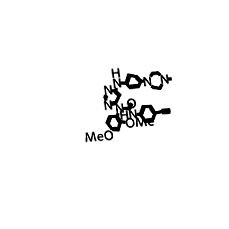 C#Cc1ccc(NC(=O)N(c2cc(Nc3ccc(N4CCN(C)CC4)cc3)ncn2)c2ccc(OC)cc2OC)cc1